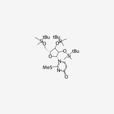 CSc1nc(=O)ccn1[C@@H]1O[C@H](CO[Si](C)(C)C(C)(C)C)C(O[Si](C)(C)C(C)(C)C)C1O[Si](C)(C)C(C)(C)C